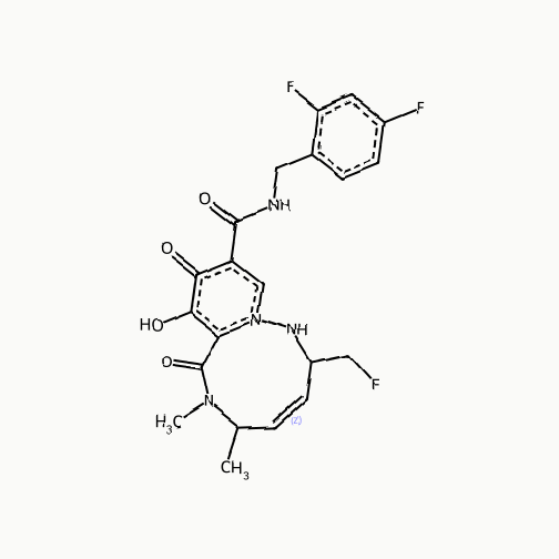 CC1/C=C\C(CF)Nn2cc(C(=O)NCc3ccc(F)cc3F)c(=O)c(O)c2C(=O)N1C